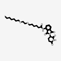 O=C1CCC(N2C(=O)c3cccc(NC(=O)CCCCCOCCOCCCCCCI)c3C2=O)C(=O)N1